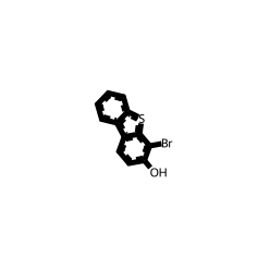 Oc1ccc2c(sc3ccccc32)c1Br